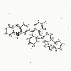 Cc1ccc2c(-c3ccc4c(c3)N(C)c3ccccc3S4)c3ccccc3c(-c3ccc4c(c3)C(C)(C)c3ccccc3-4)c2c1